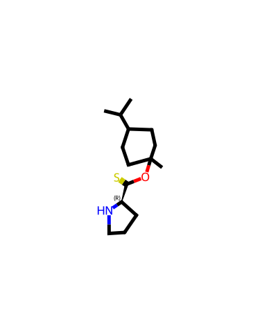 CC(C)C1CCC(C)(OC(=S)[C@H]2CCCN2)CC1